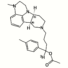 [2H]C(CCCN1CC[C@H]2[C@@H](C1)c1cccc3c1N2CCN3C)(OC(C)=O)c1ccc(C)cc1